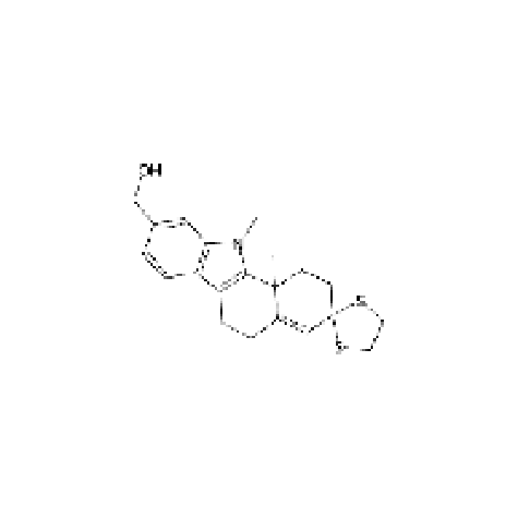 Cn1c2c(c3ccc(CO)cc31)CCC1=CC3(CCC12C)SCCS3